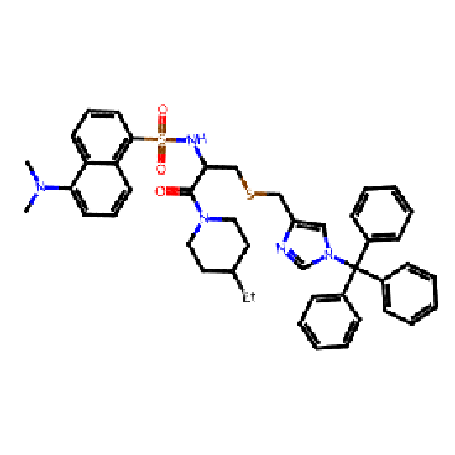 CCC1CCN(C(=O)C(CSCc2cn(C(c3ccccc3)(c3ccccc3)c3ccccc3)cn2)NS(=O)(=O)c2cccc3c(N(C)C)cccc23)CC1